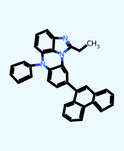 CCc1nc2cccc3c2n1-c1cc(-c2cc4ccccc4c4ccccc24)ccc1N3c1ccccc1